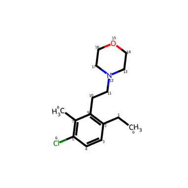 CCc1ccc(Cl)c(C)c1CCN1CCOCC1